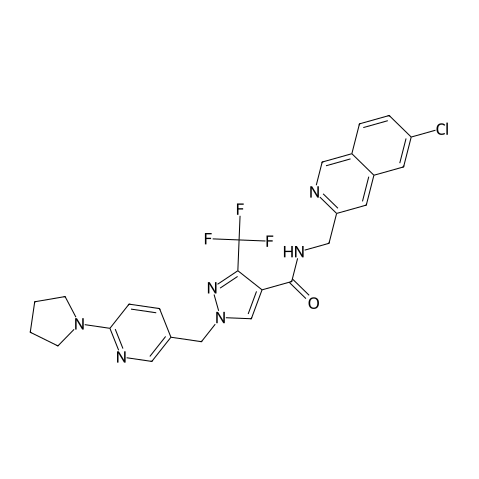 O=C(NCc1cc2cc(Cl)ccc2cn1)c1cn(Cc2ccc(N3CCCC3)nc2)nc1C(F)(F)F